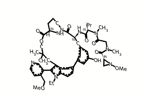 CCn1c(-c2cnccc2COC)c2c3cc(ccc31)-c1cc(O)cc(c1)C[C@H](NC(=O)[C@H](C(C)C)N(C)C(=O)CN(C)C(=O)[C@H]1CN1OC)C(=O)N1CCC[C@H](N1)C(=O)OCC(C)(C)C2